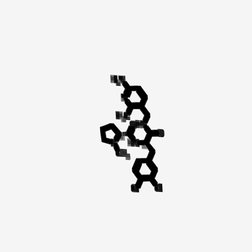 Cc1nc(N)ccc1CNC(=O)[C@@H](Cc1ccc(Cl)c(Cl)c1)NC(=O)[C@H]1CCCN1C